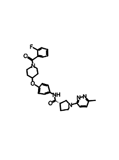 Cc1ccc(N2CC[C@H](C(=O)Nc3ccc(OC4CCN(C(=O)c5ccccc5F)CC4)cc3)C2)nn1